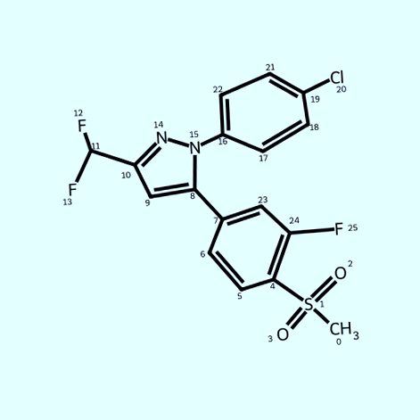 CS(=O)(=O)c1ccc(-c2cc(C(F)F)nn2-c2ccc(Cl)cc2)cc1F